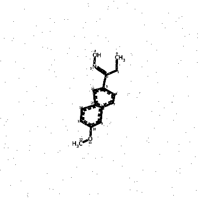 CCC(=NO)c1ccc2cc(OC)ccc2c1